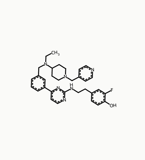 CCN(Cc1cccc(-c2ccnc(NCCc3ccc(O)c(F)c3)n2)c1)C1CCN(Cc2ccncc2)CC1